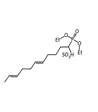 CC=CCCC=CCCCC(P(=O)(OCC)OCC)S(=O)(=O)O